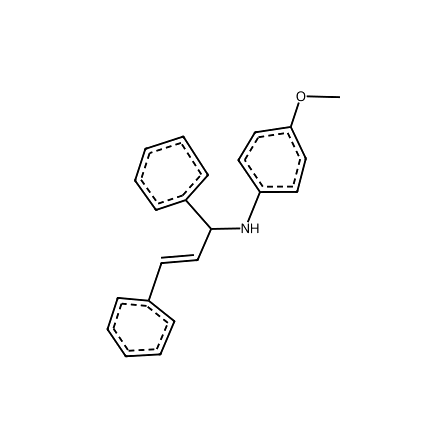 COc1ccc(NC(C=Cc2ccccc2)c2ccccc2)cc1